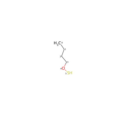 CCCCOS